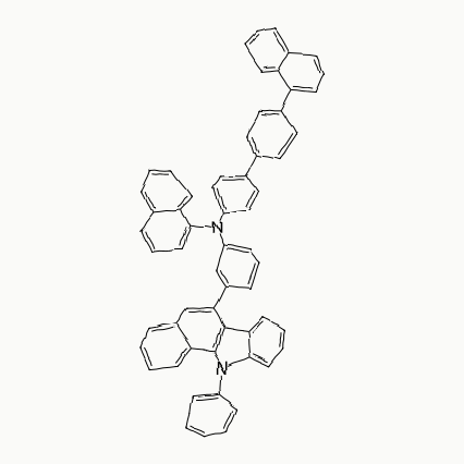 c1ccc(-n2c3ccccc3c3c(-c4cccc(N(c5ccc(-c6ccc(-c7cccc8ccccc78)cc6)cc5)c5cccc6ccccc56)c4)cc4ccccc4c32)cc1